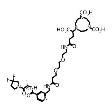 C[C@H](NC(=O)c1ccnc(CNC(=O)CCOCCOCCNC(=O)CCC(C(=O)O)N2CCN(C(=O)O)CCN(C(=O)O)CC2)c1)C(=O)N1CCC(F)(F)C1